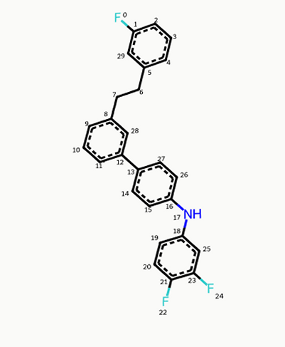 Fc1cccc(CCc2cc[c]c(-c3ccc(Nc4ccc(F)c(F)c4)cc3)c2)c1